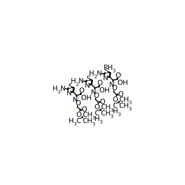 CC(C)(C)OC(=O)CO/N=C(\C(=O)O)c1csc(N)n1.CC(C)(C)OC(=O)CO/N=C(\C(=O)O)c1csc(N)n1.CC(C)(C)OC(=O)CO/N=C(\C(=O)O)c1csc(N)n1.P